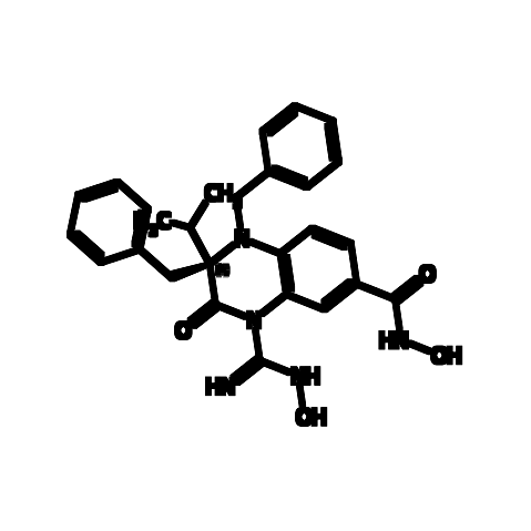 CC(C)[C@@]1(Cc2ccccc2)C(=O)N(C(=N)NO)c2cc(C(=O)NO)ccc2N1Cc1ccccc1